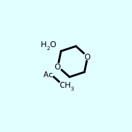 C1COCCO1.CC(C)=O.O